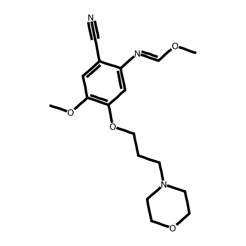 COC=Nc1cc(OCCCN2CCOCC2)c(OC)cc1C#N